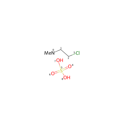 CNCCCl.O=S(=O)(O)O